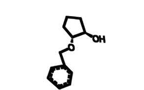 O[C@@H]1CCC[C@H]1OCc1ccccc1